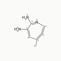 CC1=C=CN=C(N)C(N)=C1